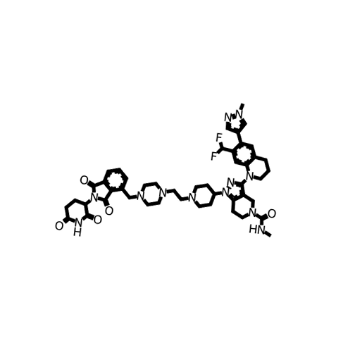 CNC(=O)N1CCc2c(c(N3CCCc4cc(-c5cnn(C)c5)c(C(F)F)cc43)nn2C2CCN(CCN3CCN(Cc4cccc5c4C(=O)N(C4CCC(=O)NC4=O)C5=O)CC3)CC2)C1